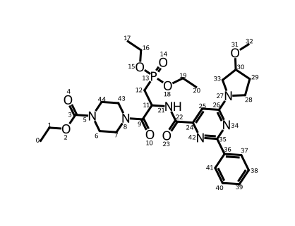 CCOC(=O)N1CCN(C(=O)C(CP(=O)(OCC)OCC)NC(=O)c2cc(N3CCC(OC)C3)nc(-c3ccccc3)n2)CC1